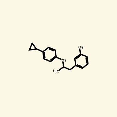 CC(Cc1cccc(O)c1)Nc1ccc(C2CC2)cc1